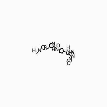 Cc1c(CN2CCC[C@@H](N)C2)ccnc1C(=O)Nc1ccc(-c2cc3c(N4CCOCC4)ncnc3[nH]2)cc1